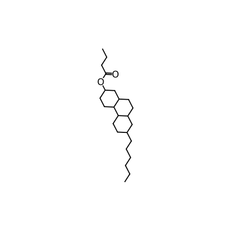 CCCCCCC1CCC2C(CCC3CC(OC(=O)CCC)CCC32)C1